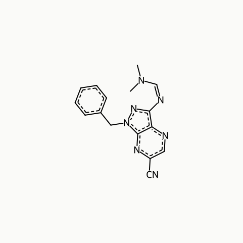 CN(C)/C=N\c1nn(Cc2ccccc2)c2nc(C#N)cnc12